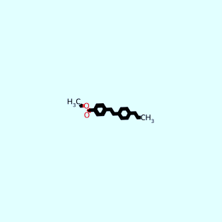 CCCC1CCC(CCc2ccc(C(=O)OCC)cc2)CC1